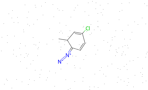 CC1C=C(Cl)C=CC1=[N+]=[N-]